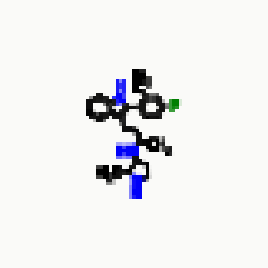 C=C(CCc1c(-c2ccc(F)cc2C)[nH]c2ccccc12)NC1CCNC1=C